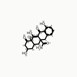 NC(=O)C12Cc3cccc(O)c3C(=O)C1=C(O)C1(O)C(=O)CC(O)CC1C2